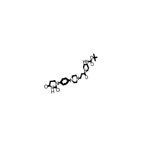 CC(C)(C)OC(=O)NC1CCN(C(=O)CCN2CCN(c3ccc(N4CCC(=O)NC4=O)cc3)CC2)CC1